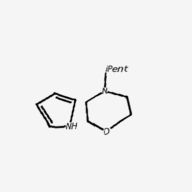 CCCC(C)N1CCOCC1.c1cc[nH]c1